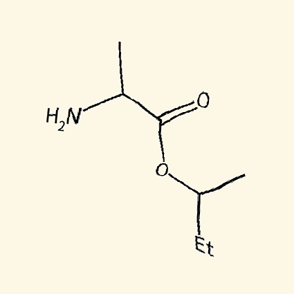 CCC(C)OC(=O)C(C)N